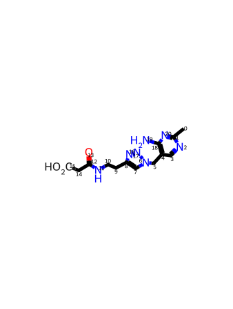 Cc1ncc(Cn2cc(CCNC(=O)CC(=O)O)nn2)c(N)n1